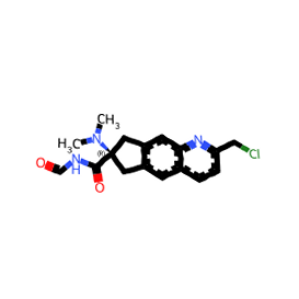 CN(C)[C@]1(C(=O)NC=O)Cc2cc3ccc(CCl)nc3cc2C1